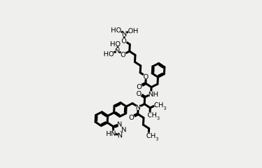 CCCCC(=O)N(Cc1ccc(-c2ccccc2-c2nnn[nH]2)cc1)C(C(=O)NC(Cc1ccccc1)C(=O)OCCCCC(CON(O)O)ON(O)O)C(C)C